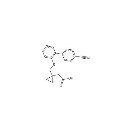 N#Cc1ccc(-c2cnccc2SCC2(CC(=O)O)CC2)cc1